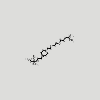 CCC(C)(C)OCCN1CCN(CCOCCOCCOC(C)C)CC1